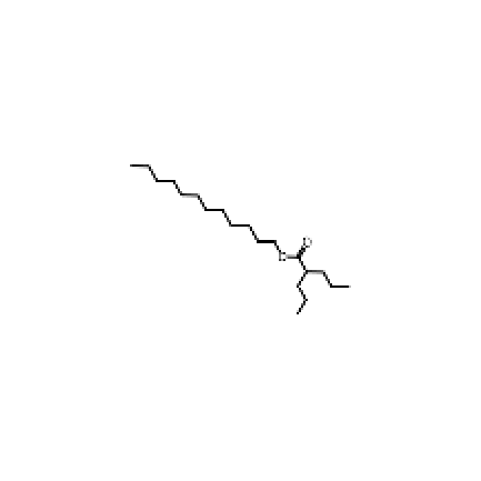 CCCCCCCCCCCCOC(=O)C(CCC)CCC